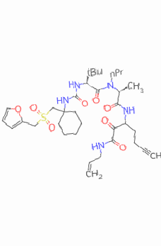 C#CCCC(NC(=O)[C@H](C)N(CCC)C(=O)[C@@H](NC(=O)NC1(CS(=O)(=O)Cc2ccco2)CCCCC1)C(C)(C)C)C(=O)C(=O)NCC=C